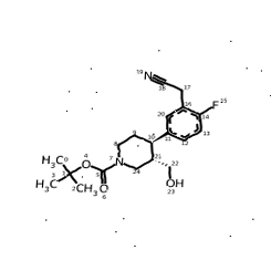 CC(C)(C)OC(=O)N1CC[C@@H](c2ccc(F)c(CC#N)c2)[C@H](CO)C1